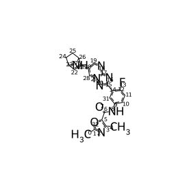 Cc1nc(C)c(C(=O)Nc2ccc(F)c(-c3nc4ncc(C5=CC6CCC5N6)cn4n3)c2)o1